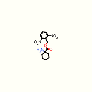 NC1(C(=O)OCc2c([N+](=O)[O-])cccc2[N+](=O)[O-])CCCCC1